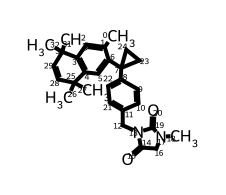 Cc1cc2c(cc1C1(c3ccc(CN4C(=O)CN(C)C4=O)cc3)CC1)C(C)(C)C=CC2(C)C